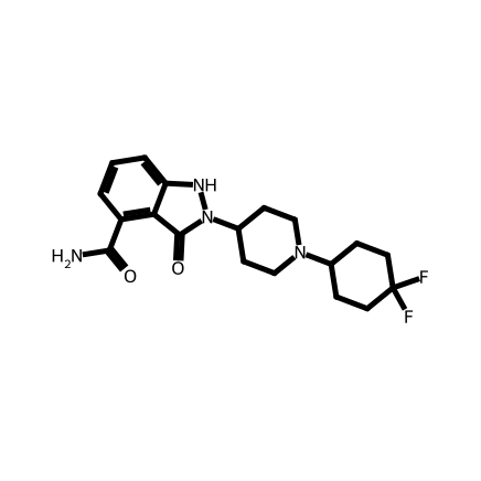 NC(=O)c1cccc2[nH]n(C3CCN(C4CCC(F)(F)CC4)CC3)c(=O)c12